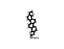 CCCCCc1cc2ccc3c4ccc5c(ccc6ccsc65)c4ccc3c2s1